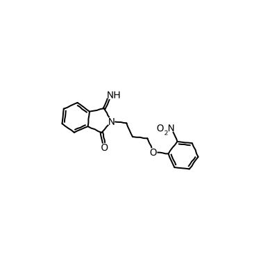 N=C1c2ccccc2C(=O)N1CCCOc1ccccc1[N+](=O)[O-]